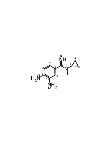 N=C(NC1CC1)c1ccc(N)c(N)c1